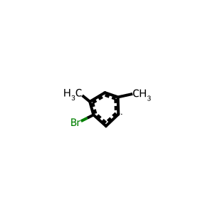 Cc1[c]cc(Br)c(C)c1